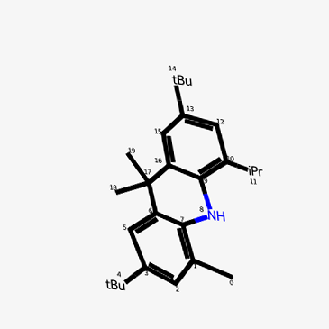 Cc1cc(C(C)(C)C)cc2c1Nc1c(C(C)C)cc(C(C)(C)C)cc1C2(C)C